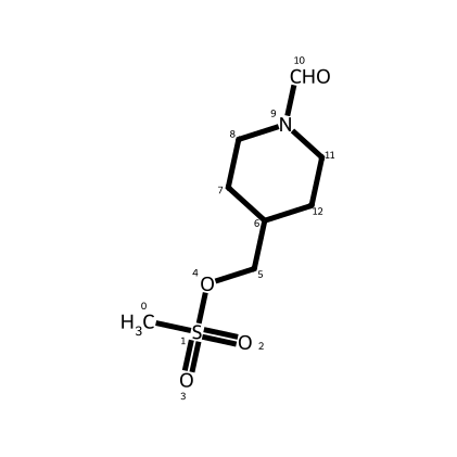 CS(=O)(=O)OCC1CCN(C=O)CC1